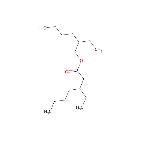 CCCCC(CC)COC(=O)CC(CC)CCCC